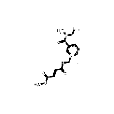 CCN(C)C(=O)c1ccc[n+](COC(=O)C=CC(=O)OC)c1.[I-]